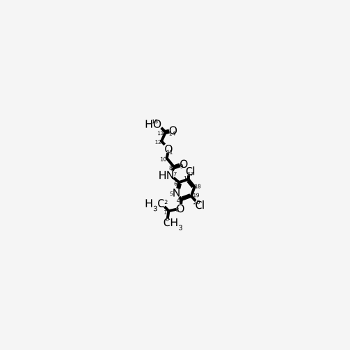 CC(C)Oc1nc(NC(=O)COCC(=O)O)c(Cl)cc1Cl